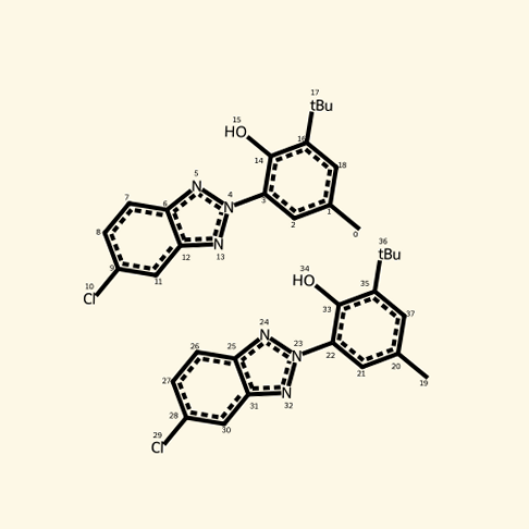 Cc1cc(-n2nc3ccc(Cl)cc3n2)c(O)c(C(C)(C)C)c1.Cc1cc(-n2nc3ccc(Cl)cc3n2)c(O)c(C(C)(C)C)c1